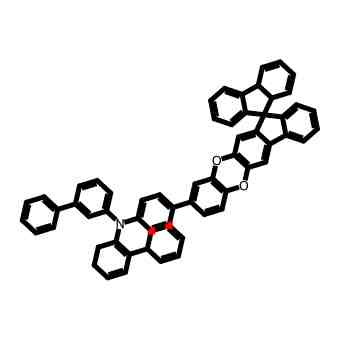 C1=CCC(C2=C(N(c3ccc(-c4ccc5c(c4)Oc4cc6c(cc4O5)-c4ccccc4C64c5ccccc5C5C=CC=CC54)cc3)c3cccc(-c4ccccc4)c3)CCC=C2)C=C1